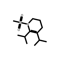 CC(C)C1=C(C(C)C)N(S(C)(=O)=O)CCC1